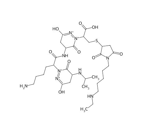 CCNCCCCCN1C(=O)CC(SCC(C(=O)O)[N+]2=[N+]=C(O)CC(NC(=O)C(CCCCN)[N+]3=[N+]=C(O)CC(NC(C)C)C3=O)C2=O)C1=O